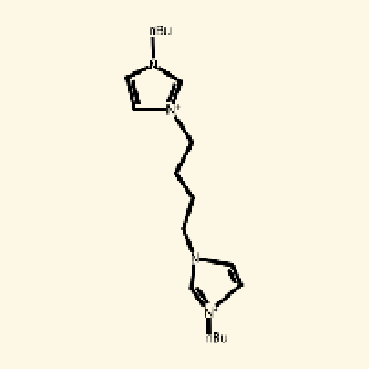 CCCCn1cc[n+](CCCCn2cc[n+](CCCC)c2)c1